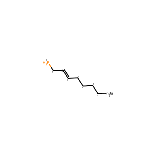 CCCCCCCCC=CCP